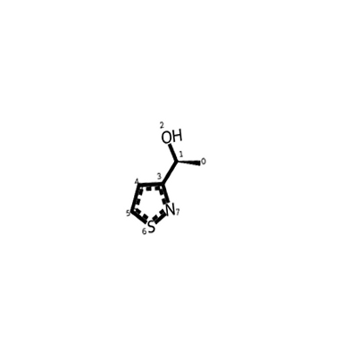 C[C@H](O)c1ccsn1